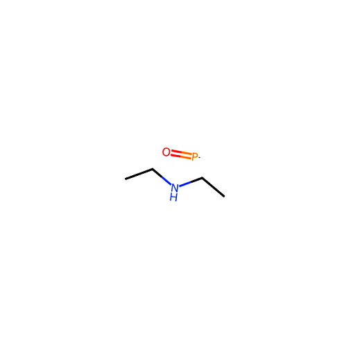 CCNCC.O=[P]